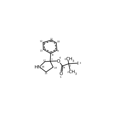 CC(C)(I)C(=O)OC1(c2ccccc2)CCNC1